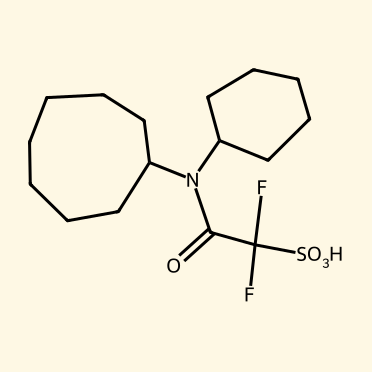 O=C(N(C1CCCCCCC1)C1CCCCC1)C(F)(F)S(=O)(=O)O